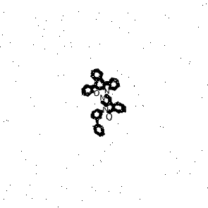 O=c1c2ccccc2c2cc(-n3c4ccccc4c4c5ccccc5c5c6ccccc6oc5c43)ncc2n1-c1cccc(-c2ccccc2)c1